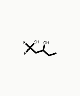 CCC(O)CC(F)(F)S